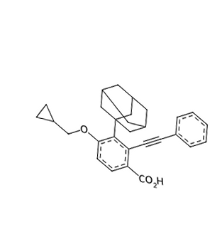 O=C(O)c1ccc(OCC2CC2)c(C23CC4CC(CC(C4)C2)C3)c1C#Cc1ccccc1